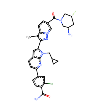 Cc1c(-c2cc3ccc(-c4ccc(C(N)=O)c(Cl)c4)nc3n2CC2CC2)nn2cc(C(=O)N3C[C@H](N)C[C@@H](F)C3)ccc12